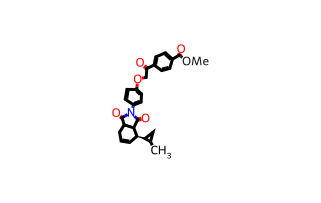 COC(=O)c1ccc(C(=O)COc2ccc(N3C(=O)C4CC=C[C@H](C5CC5C)C4C3=O)cc2)cc1